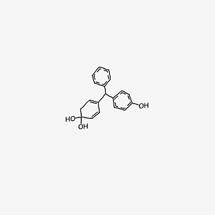 Oc1ccc(C(C2=CCC(O)(O)C=C2)c2ccccc2)cc1